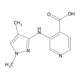 Cc1cn(C)nc1Nc1cnccc1C(=O)O